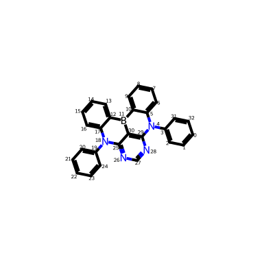 c1ccc(N2c3ccccc3B3c4ccccc4N(c4ccccc4)c4ncnc2c43)cc1